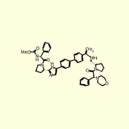 C=C(NC[C@@H]1CCCN1C(=O)[C@@H](c1ccccc1)N1CCOCC1)c1ccc(-c2ccc(-c3cnc([C@@H]4CCCN4C(=O)[C@H](NC(=O)OC)c4ccccc4)[nH]3)cc2)cc1